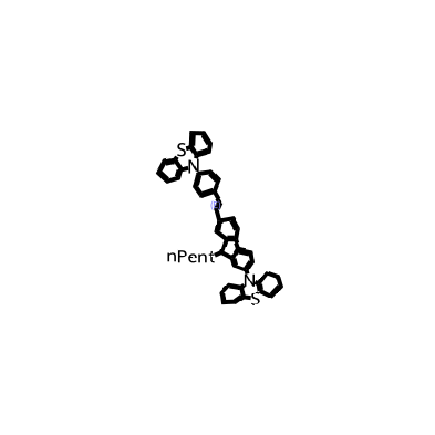 CCCCCC1c2cc(/C=C/c3ccc(N4c5ccccc5Sc5ccccc54)cc3)ccc2-c2ccc(N3C4=C(C=CCC4)Sc4ccccc43)cc21